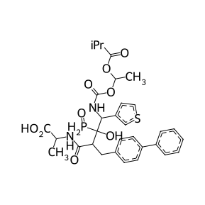 CC(OC(=O)NC(c1ccsc1)C(O)([PH2]=O)C(Cc1ccc(-c2ccccc2)cc1)C(=O)NC(C)C(=O)O)OC(=O)C(C)C